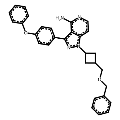 Nc1nccc2c1c(-c1ccc(Oc3ccccc3)cc1)nn2C1CC(COCc2ccccc2)C1